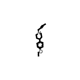 CC#CCN1CCC(c2ccc(OCC)cc2)CC1